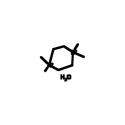 C[N+]1(C)CC[N+](C)(C)CC1.O